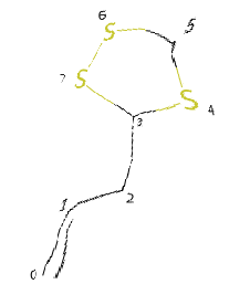 C=CCC1SCSS1